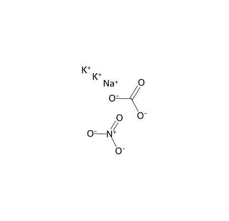 O=C([O-])[O-].O=[N+]([O-])[O-].[K+].[K+].[Na+]